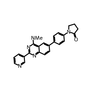 CNc1nc(-c2cccnc2)nc2ccc(-c3ccc(N4CCCC4=O)cc3)cc12